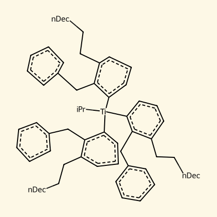 CCCCCCCCCCCCc1ccc[c]([Ti]([c]2cccc(CCCCCCCCCCCC)c2Cc2ccccc2)([c]2cccc(CCCCCCCCCCCC)c2Cc2ccccc2)[CH](C)C)c1Cc1ccccc1